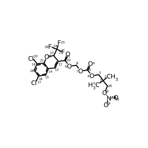 CC(C)(COC(=O)OCOC(=O)C1=Cc2cc(Cl)cc(Cl)c2OC1C(F)(F)F)CO[N+](=O)[O-]